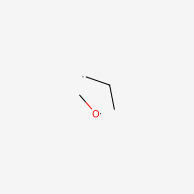 C[O].[CH2]CC